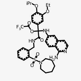 CCOc1cc(C(Nc2ccc3c(N)nccc3c2)(OC(=O)C(F)(F)F)C(=O)NCc2ccccc2S(=O)(=O)N2CCCCCC2)ccc1OC(C)C